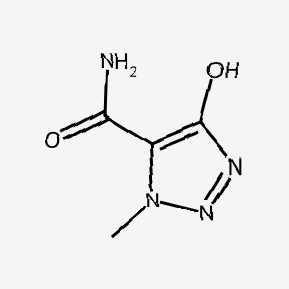 Cn1nnc(O)c1C(N)=O